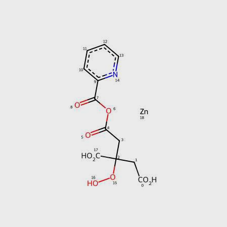 O=C(O)CC(CC(=O)OC(=O)c1ccccn1)(OO)C(=O)O.[Zn]